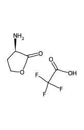 N[C@@H]1CCOC1=O.O=C(O)C(F)(F)F